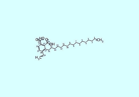 CCCCCCCCCCCCCCCCCc1c(CC)ccc(C(=O)O)c1C(=O)O